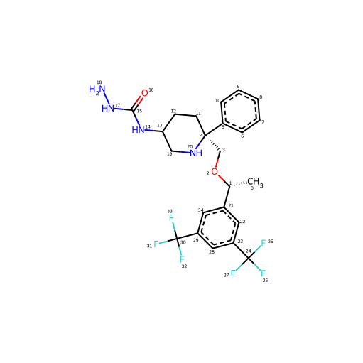 C[C@@H](OC[C@@]1(c2ccccc2)CCC(NC(=O)NN)CN1)c1cc(C(F)(F)F)cc(C(F)(F)F)c1